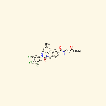 COC(=O)CCNC(=O)c1ccc(CN(C(=O)Nc2cc(Cl)c(Cl)c(Cl)c2)C2CCC(C(C)(C)C)CC2)cc1